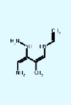 C=CN/C=C(C)\C(=C/N)NN